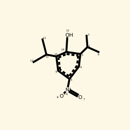 CC(C)c1cc([N+](=O)[O-])cc(C(C)C)c1O